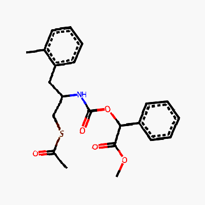 COC(=O)C(OC(=O)NC(CSC(C)=O)Cc1ccccc1C)c1ccccc1